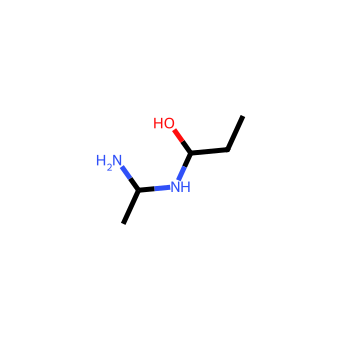 CCC(O)NC(C)N